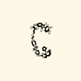 NC(=O)C(CCOCCN1CCN(S(=O)(=O)N2CCC(Nc3ncc4ccc(=O)n(C5CCCC5)c4n3)CC2)CC1)Oc1cccc2c1C(=O)N(C1CCC(=O)NC1=O)C2=O